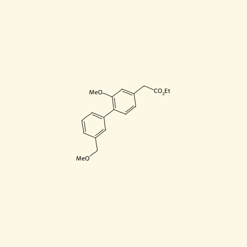 CCOC(=O)Cc1ccc(-c2cccc(COC)c2)c(OC)c1